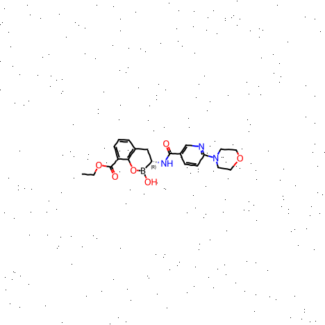 CCOC(=O)c1cccc2c1OB(O)[C@@H](NC(=O)c1ccc(N3CCOCC3)nc1)C2